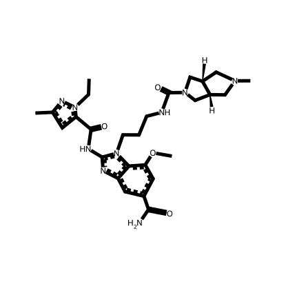 CCn1nc(C)cc1C(=O)Nc1nc2cc(C(N)=O)cc(OC)c2n1CCCNC(=O)N1C[C@H]2CN(C)C[C@H]2C1